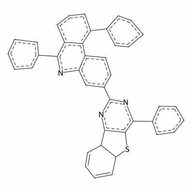 C1=CC2Sc3c(-c4ccccc4)nc(-c4ccc5c(c4)nc(-c4ccccc4)c4cccc(-c6ccccc6)c45)nc3C2C=C1